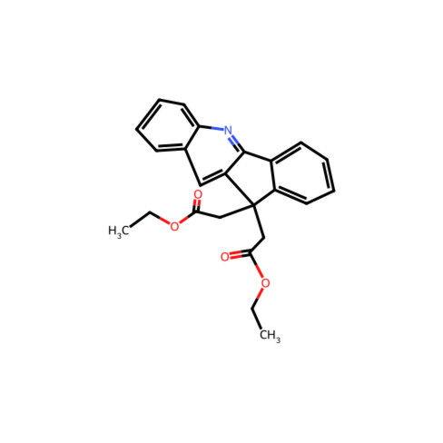 CCOC(=O)CC1(CC(=O)OCC)c2ccccc2-c2nc3ccccc3cc21